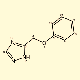 [c]1n[nH]c(COc2ccccc2)n1